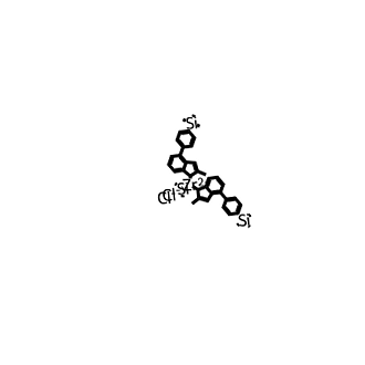 CC1=Cc2c(-c3ccc([Si](C)(C)C)cc3)cccc2[CH]1[Zr+2]([CH]1C(C)=Cc2c(-c3ccc([Si](C)(C)C)cc3)cccc21)=[Si](C)C.[Cl-].[Cl-]